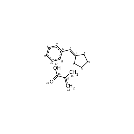 C(=C1CCCC1)c1ccccc1.C=C(C)C(=O)O